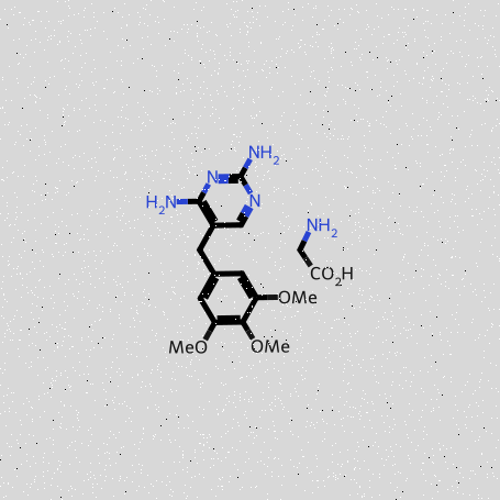 COc1cc(Cc2cnc(N)nc2N)cc(OC)c1OC.NCC(=O)O